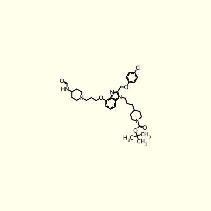 CC(C)(C)OC(=O)N1CCC(CCCn2c(COc3ccc(Cl)cc3)nc3c(OCCCN4CCC(NC=O)CC4)cccc32)CC1